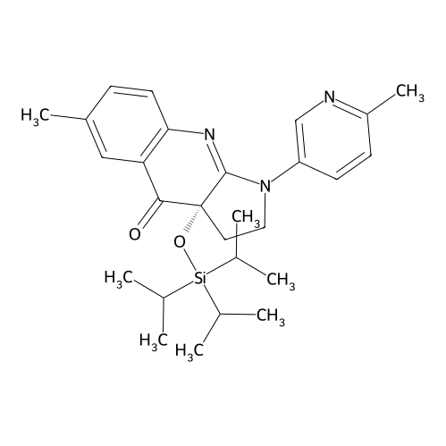 Cc1ccc2c(c1)C(=O)[C@]1(O[Si](C(C)C)(C(C)C)C(C)C)CCN(c3ccc(C)nc3)C1=N2